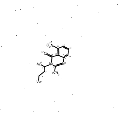 CC(=O)CCC(C(C)=O)n1c(C)nc2cccc([N+](=O)[O-])c2c1=O